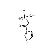 O=P(O)(O)CC(=S)c1cscn1